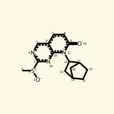 C[S+]([O-])c1ncc2ccc(=O)n(C3CC4CCC3C4)c2n1